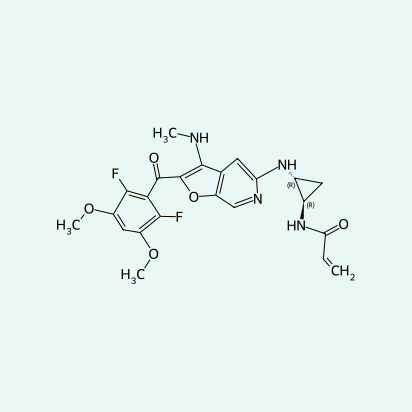 C=CC(=O)N[C@@H]1C[C@H]1Nc1cc2c(NC)c(C(=O)c3c(F)c(OC)cc(OC)c3F)oc2cn1